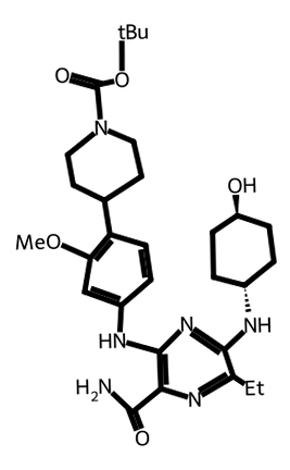 CCc1nc(C(N)=O)c(Nc2ccc(C3CCN(C(=O)OC(C)(C)C)CC3)c(OC)c2)nc1N[C@H]1CC[C@H](O)CC1